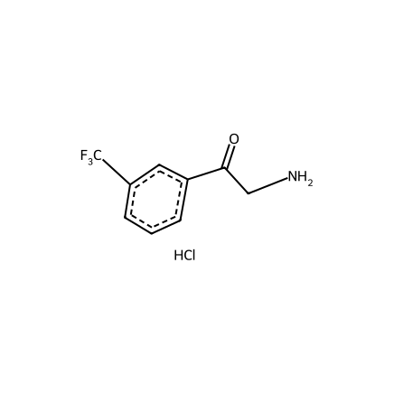 Cl.NCC(=O)c1cccc(C(F)(F)F)c1